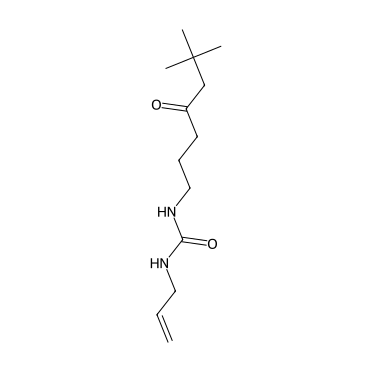 C=CCNC(=O)NCCCC(=O)CC(C)(C)C